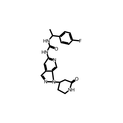 CC(NC(=O)Nc1cc2cnn(C3CCNC(=O)C3)c2cn1)c1ccc(F)cc1